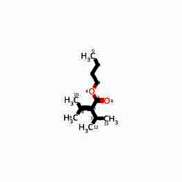 CCCCOC(=O)C(=C(C)C)C(C)C